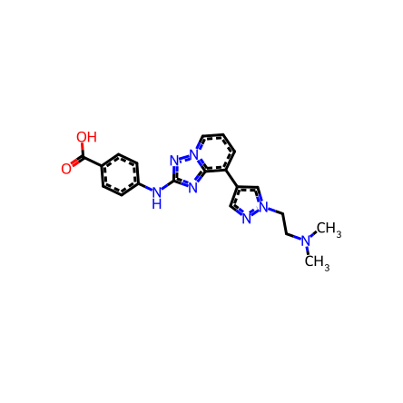 CN(C)CCn1cc(-c2cccn3nc(Nc4ccc(C(=O)O)cc4)nc23)cn1